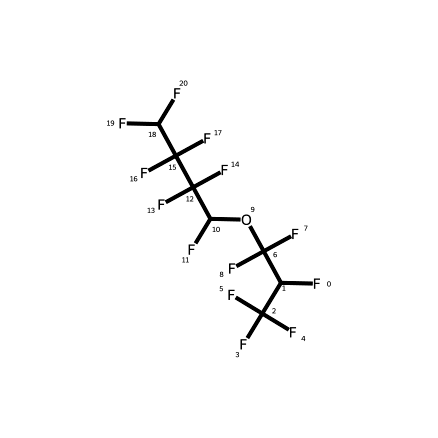 FC(C(F)(F)F)C(F)(F)OC(F)C(F)(F)C(F)(F)C(F)F